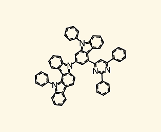 c1ccc(-c2cc(-c3cc(-n4c5ccccc5c5c4ccc4c6ccccc6n(-c6ccccc6)c45)cc4c3c3ccccc3n4-c3ccccc3)nc(-c3ccccc3)n2)cc1